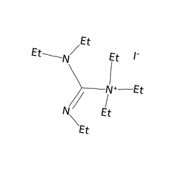 CCN=C(N(CC)CC)[N+](CC)(CC)CC.[I-]